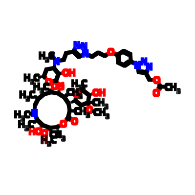 CC[C@H]1OC(=O)[C@H](C)[C@@H](C2C[C@@](C)(OC)[C@@H](O)[C@H](C)O2)[C@H](C)[C@@H](O[C@@H]2O[C@H](C)C[C@H](N(C)CCc3cn(CCCOc4ccc(-n5cc(COC(C)=O)nn5)cc4)nn3)[C@H]2O)[C@](C)(O)C[C@@H](C)CN(C)[C@H](C)[C@@H](O)[C@]1(C)O